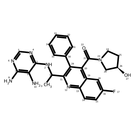 CC(Nc1ncnc(N)c1N)c1nc2ccc(F)cc2c(C(=O)N2CC[C@@H](O)C2)c1-c1ccccc1